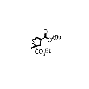 CCOC(=O)[C@@]1(C)C[C@H](C(=O)OC(C)(C)C)CS1